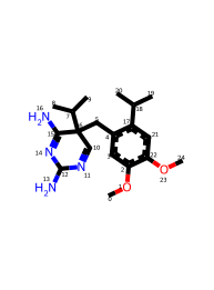 COc1cc(CC2(C(C)C)C=NC(N)N=C2N)c(C(C)C)cc1OC